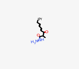 CC(C)C/C=C/C=C/C(=O)C(C)C(=O)NN